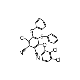 N#Cc1c(Cl)c(Sc2ccccc2)c(Sc2ccccc2)c(Oc2cccc(Cl)c2Cl)c1C#N